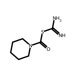 N=C(N)SC(=O)N1CCCCC1